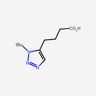 CC(C)(C)n1nncc1CCCC(=O)O